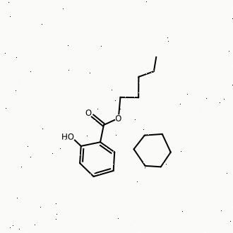 CCCCCOC(=O)c1ccccc1O.[CH]1CCCCC1